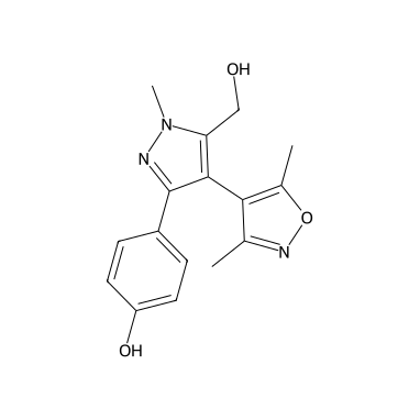 Cc1noc(C)c1-c1c(-c2ccc(O)cc2)nn(C)c1CO